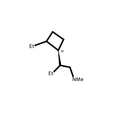 CCC1CC[C@H]1C(CC)CNC